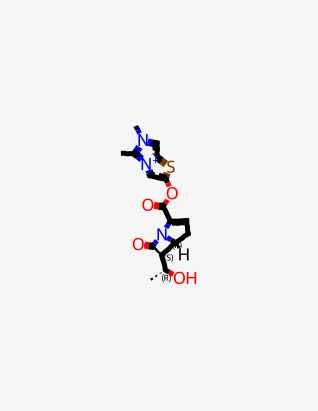 Cc1n(C)cc2sc(OC(=O)C3=CC[C@@H]4[C@@H]([C@@H](C)O)C(=O)N34)c[n+]12